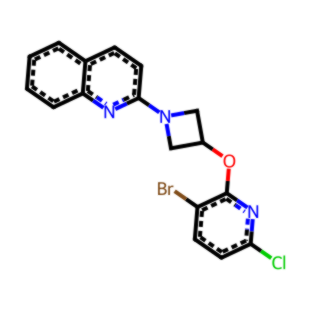 Clc1ccc(Br)c(OC2CN(c3ccc4ccccc4n3)C2)n1